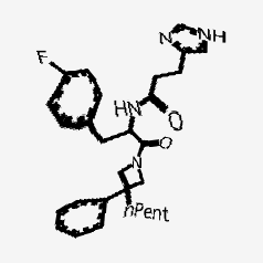 CCCCCC1(c2ccccc2)CN(C(=O)C(Cc2ccc(F)cc2)NC(=O)CCc2c[nH]cn2)C1